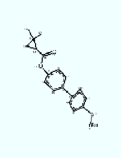 CCCCOc1ccc(-c2ccc(OC(=O)C3CC3(C)C)cc2)cc1